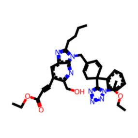 CCCCc1nc2cc(C#CC(=O)OCC)c(CO)nc2n1CC1=CCC(c2ccccc2)(c2nnnn2C(C)OCC)C=C1